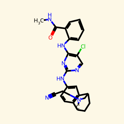 CNC(=O)c1ccccc1Nc1nc(Nc2ccc3c(c2)C2CCC3CN(CC#N)C2)ncc1Cl